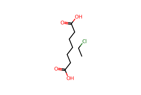 CCCl.O=C(O)CCCCCC(=O)O